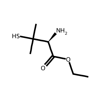 CCOC(=O)[C@H](N)C(C)(C)S